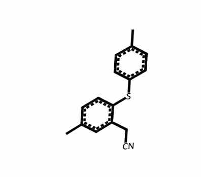 Cc1ccc(Sc2ccc(C)cc2CC#N)cc1